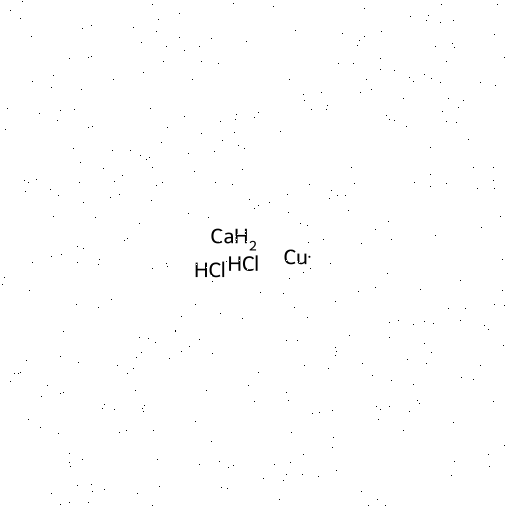 Cl.Cl.[CaH2].[Cu]